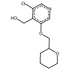 OCc1c(Cl)cncc1OCC1CCCCO1